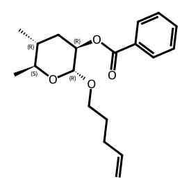 C=CCCCO[C@@H]1O[C@@H](C)[C@H](C)C[C@H]1OC(=O)c1ccccc1